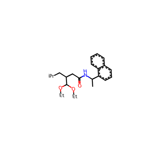 CCOC(OCC)C(CC(=O)NC(C)c1cccc2ccccc12)CC(C)C